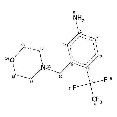 Nc1ccc(C(F)(F)C(F)(F)F)c(CN2CCOCC2)c1